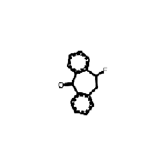 O=C1c2ccccc2CC(F)c2ccccc21